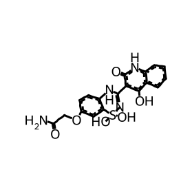 NC(=O)COc1ccc2c(c1)S(O)(O)N=C(c1c(O)c3ccccc3[nH]c1=O)N2